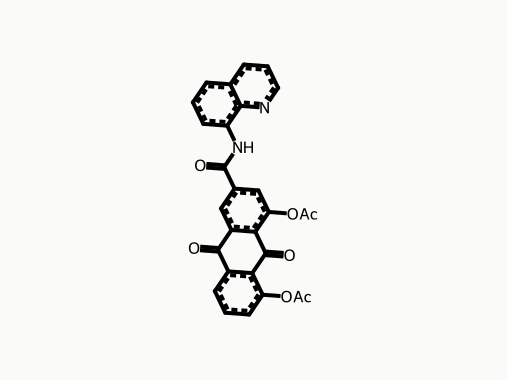 CC(=O)Oc1cccc2c1C(=O)c1c(OC(C)=O)cc(C(=O)Nc3cccc4cccnc34)cc1C2=O